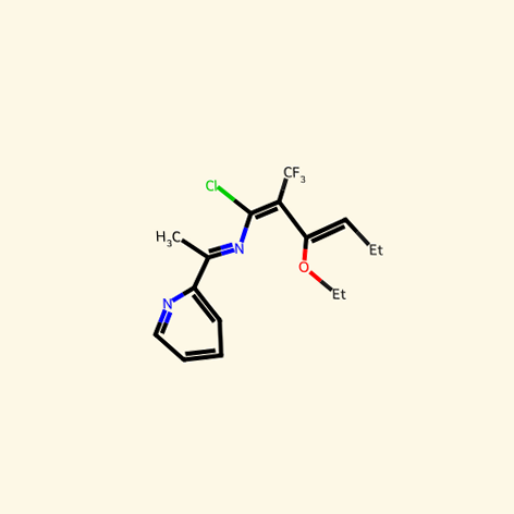 CC/C=C(OCC)/C(=C(Cl)\N=C(/C)c1ccccn1)C(F)(F)F